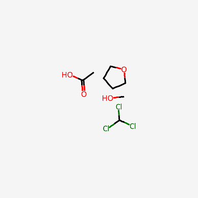 C1CCOC1.CC(=O)O.CO.ClC(Cl)Cl